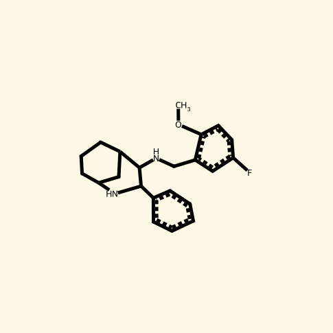 COc1ccc(F)cc1CNC1C2CCCC(C2)NC1c1ccccc1